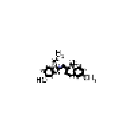 CCN1/C(=C/c2ccc3cc(C)ccc3[n+]2C)Sc2cc(O)ccc21